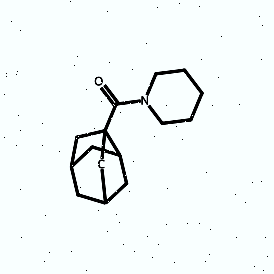 O=C(N1CCCCC1)C12CC3CC(CC1C3)C2